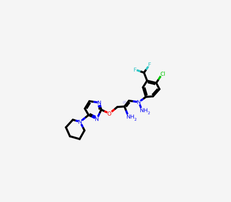 N/C(=C\N(N)c1ccc(Cl)c(C(F)F)c1)COc1nccc(N2CCCCC2)n1